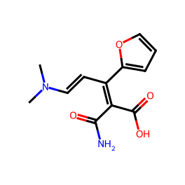 CN(C)C=CC(=C(C(N)=O)C(=O)O)c1ccco1